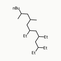 CCCCC(C)CC(C)CC(CC)CC(CC)CC(CC)CC